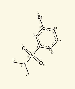 CN(C)S(=O)(=O)c1cc(Br)ccn1